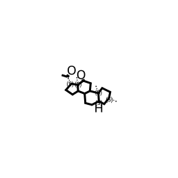 CC(=O)[C@H]1CCC2C3CC[C@H]4C[C@@H](C)CC[C@]4(C)C3CC(=O)[C@@]21C